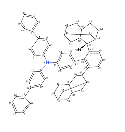 c1ccc(-c2ccc(N(c3ccc(-c4ccccc4)cc3)c3ccc(-c4c(C5CC6CCC7CC6CC5C7)cccc4[C@H]4C5CCC6CCC(C5)CC64)cc3)cc2)cc1